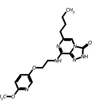 CCCCc1cn2c(=O)[nH]nc2c(NCCOc2ccc(OC)nc2)n1